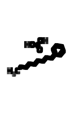 CCCCCCCCCc1ccccc1.O=C(O)O